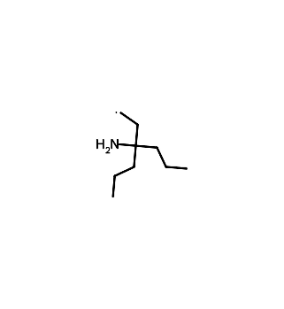 [CH2]CC(N)(CCC)CCC